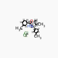 CC1=CC[C]([Zr+2]([NH]C(=O)c2cccc(C)c2)[SiH](C)C)=C1.[Cl-].[Cl-]